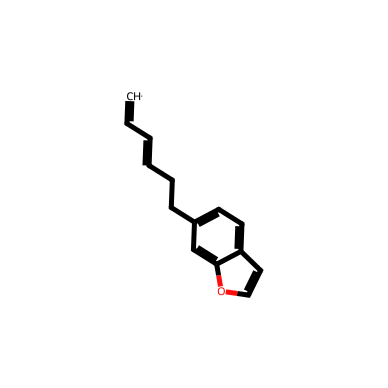 [CH]=CC=CCCc1ccc2ccoc2c1